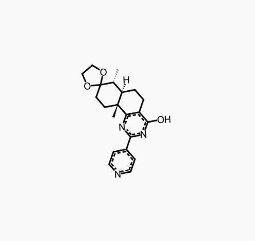 C[C@@H]1[C@H]2CCc3c(O)nc(-c4ccncc4)nc3[C@]2(C)CCC12OCCO2